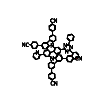 N#Cc1ccc(-c2ccc3c(c2)c2cc(-c4ccc(C#N)cc4)ccc2n3-c2cc(-c3ccccn3)ccc2-c2ccc(-c3nc(-c4ccccc4)nc(-c4ccccc4)n3)cc2-n2c3ccc(-c4ccc(C#N)cc4)cc3c3cc(-c4ccc(C#N)cc4)ccc32)cc1